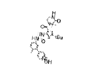 Cc1ccc(NC(=O)Nc2sc(C(C)(C)C)cc2C(=O)N2CCNC(=O)C2(C)C)cc1-c1cc[n+](O)cc1